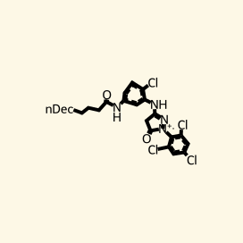 CCCCCCCCCCCCCC(=O)Nc1ccc(Cl)c(NC2=N[N+](c3c(Cl)cc(Cl)cc3Cl)C(=O)C2)c1